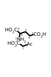 CC(=O)CC(=O)O.NC(CCC(=O)O)C(=O)O